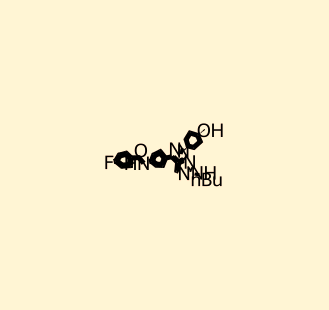 CCCCNc1ncc2c(-c3ccc(NC(=O)c4ccc(F)cc4)cc3)nn([C@H]3CC[C@@H](O)CC3)c2n1